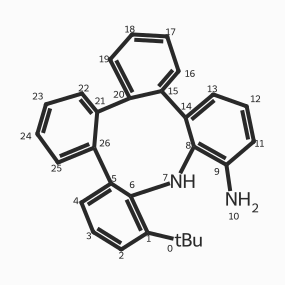 CC(C)(C)c1cccc2c1[nH]c1c(N)cccc1c1ccccc1c1ccccc21